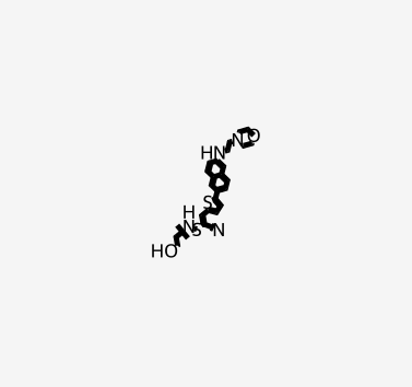 CC(C)(CCO)NS/C(C#N)=C/c1ccc(-c2ccc3cc(NCCN4CCOCC4)ccc3c2)s1